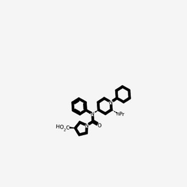 CCC[C@@H]1C[C@H](N(C(=O)N2CC[C@@H](C(=O)O)C2)c2ccccc2)CCN1C1CCCCC1